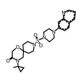 CC1(N2CC3(CCN(S(=O)(=O)N4CCN(c5ccc6cccnc6c5)CC4)CC3)OCC2=O)CC1